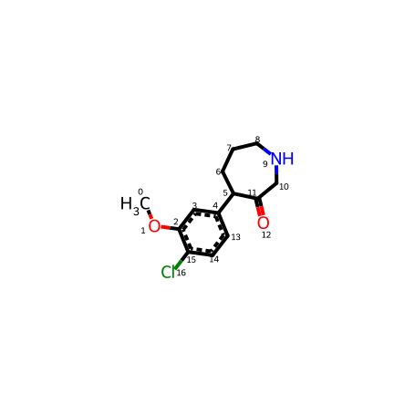 COc1cc(C2CCCNCC2=O)ccc1Cl